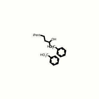 CCCC(C)CCC(O)O.O=C(O)c1ccccc1.O=C(O)c1ccccc1